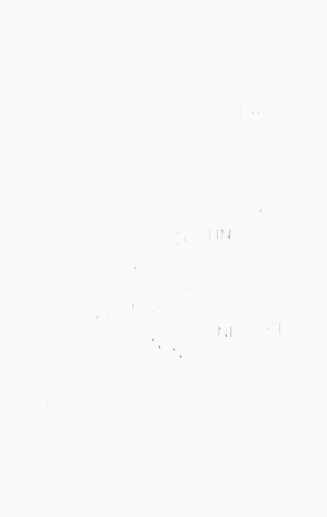 CCCCCCCCCCCCCC(=O)Nc1ccc(Cl)c(NC2=NN(c3c(Cl)cc(Cl)cc3Cl)C(=O)C2SC(CC)Oc2ccccc2)c1